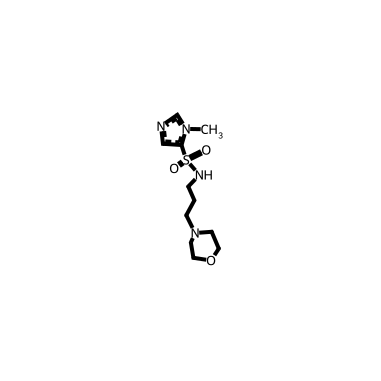 Cn1cncc1S(=O)(=O)NCCCN1CCOCC1